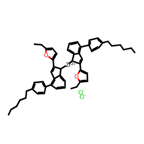 CCCCCCc1ccc(-c2cccc3c2C=C(c2ccc(CC)o2)[CH]3[Zr+2][CH]2C(c3ccc(CC)o3)=Cc3c(-c4ccc(CCCCCC)cc4)cccc32)cc1.[Cl-].[Cl-]